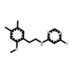 COc1cc(C)c(C)cc1CCNc1cc(Cl)ncn1